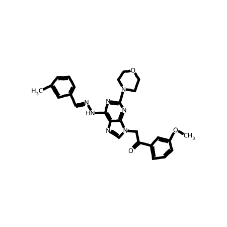 COc1cccc(C(=O)Cn2cnc3c(N/N=C/c4cccc(C)c4)nc(N4CCOCC4)nc32)c1